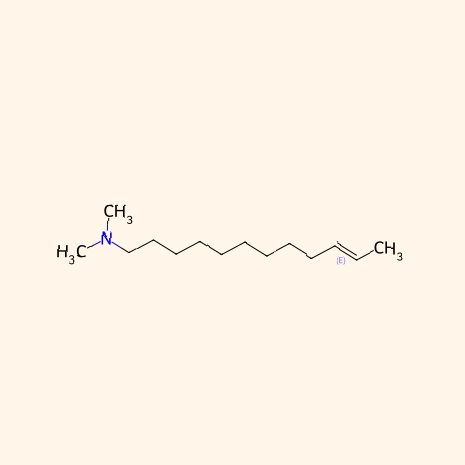 C/C=C/CCCCCCCCCN(C)C